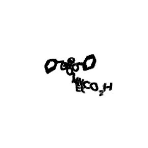 CCC(CCOP(=O)(OCc1ccccc1)OCc1ccccc1)NC(=O)O